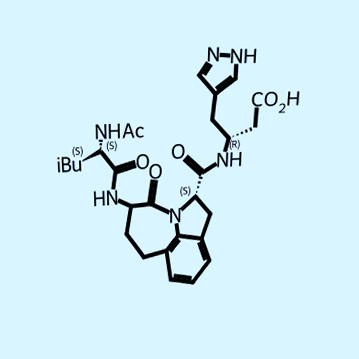 CC[C@H](C)[C@H](NC(C)=O)C(=O)NC1CCc2cccc3c2N(C1=O)[C@H](C(=O)N[C@@H](CC(=O)O)Cc1cn[nH]c1)C3